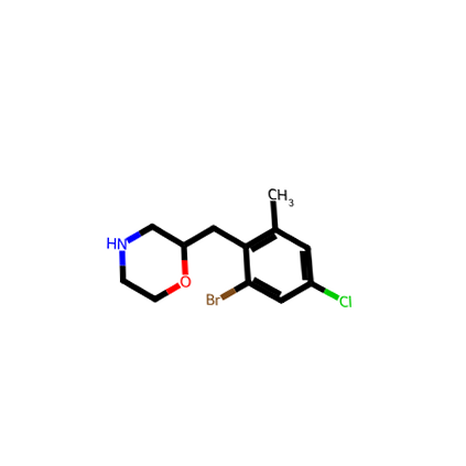 Cc1cc(Cl)cc(Br)c1CC1CNCCO1